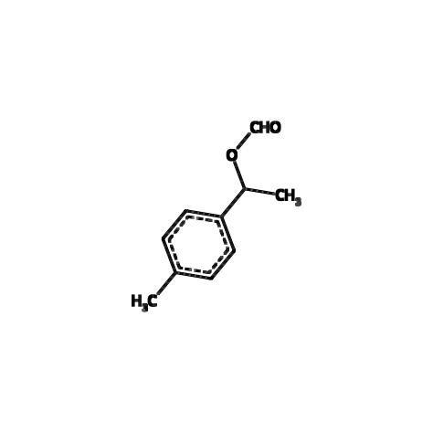 Cc1ccc(C(C)OC=O)cc1